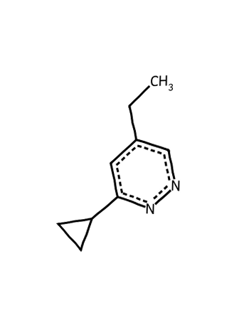 CCc1cnnc(C2CC2)c1